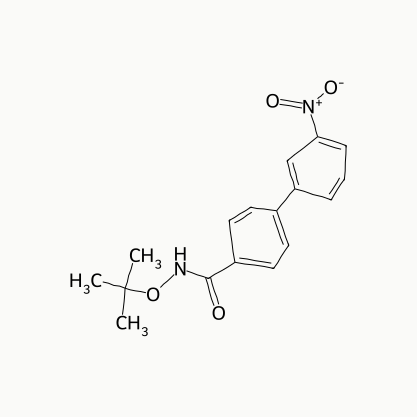 CC(C)(C)ONC(=O)c1ccc(-c2cccc([N+](=O)[O-])c2)cc1